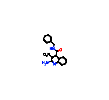 Nc1nc2ccccc2c(C(=O)NCc2ccccc2)c1[N+](=O)[O-]